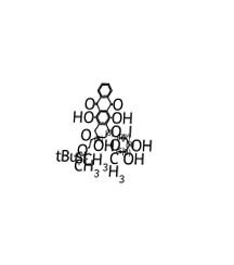 C[C@@H]1O[C@@H](O[C@H]2C[C@@](O)(C(=O)CO[Si](C)(C)C(C)(C)C)Cc3c(O)c4c(c(O)c32)C(=O)c2ccccc2C4=O)[C@H](I)[C@H](O)[C@H]1O